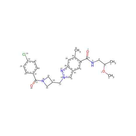 COC(C)CNC(=O)c1cc2cn(CC3CN(C(=O)c4ccc(Cl)cc4)C3)nc2cc1C